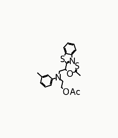 CC(=O)OCCN(CC(OC(C)=S)c1nc2ccccc2s1)c1cccc(C)c1